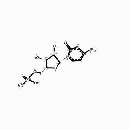 Nc1ccn([C@@H]2O[C@H](COP(=O)(O)O)[C@H](O)[C@H]2O)c(=O)n1